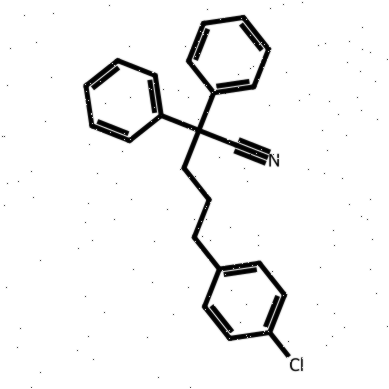 N#CC(CCCc1ccc(Cl)cc1)(c1ccccc1)c1ccccc1